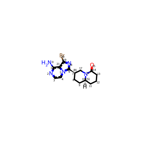 Nc1nccn2c([C@@H]3CC[C@@H]4CCCC(=O)N4C3)nc(Br)c12